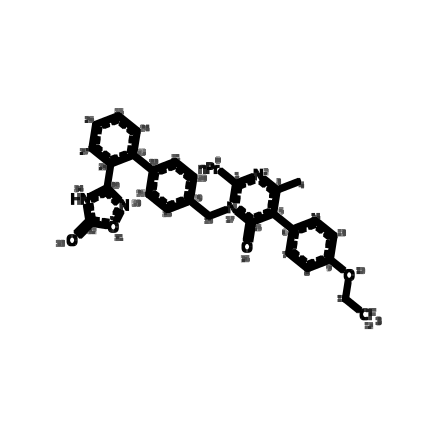 CCCc1nc(C)c(-c2ccc(OCC(F)(F)F)cc2)c(=O)n1Cc1ccc(-c2ccccc2-c2noc(=O)[nH]2)cc1